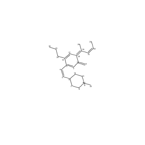 C=c1cc(/C=C\C2CCN(C)CC2)c(CCC)c/c1=C(C)/C=C\C